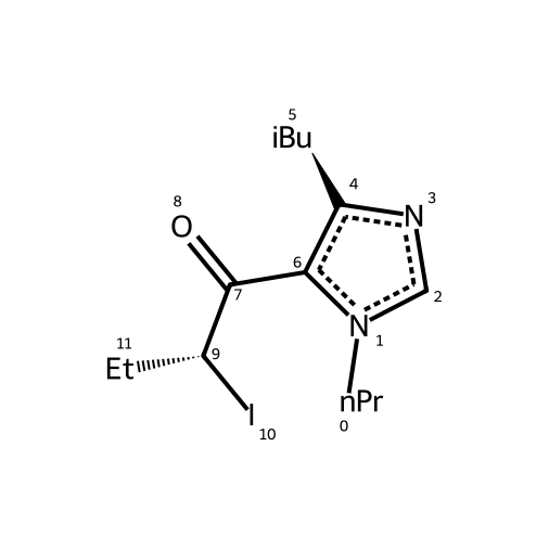 CCCn1cnc([C@H](C)CC)c1C(=O)[C@H](I)CC